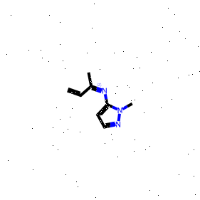 C=C/C(C)=N\c1ccnn1C